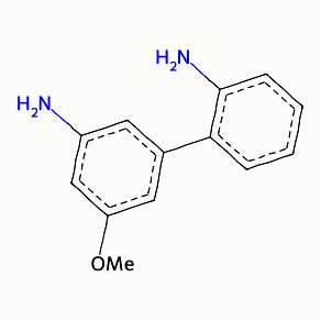 COc1cc(N)cc(-c2ccccc2N)c1